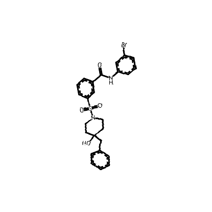 O=C(Nc1cccc(Br)c1)c1cccc(S(=O)(=O)N2CCC(O)(Cc3ccccc3)CC2)c1